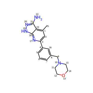 Cc1cc(-c2cccc(CN3CCOCC3)c2)nc2[nH]nc(N)c12